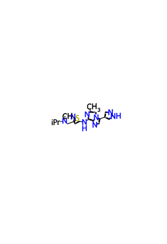 Cc1cn2c(-c3cn[nH]c3)cnc2c(Nc2cc(CN(C)C(C)C)ns2)n1